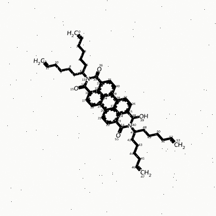 C=CCCCCC(CCCCC=C)N1C(=O)c2ccc3c4ccc5c6c(ccc(c7ccc(c2c37)C1=O)c64)C(O)N(C(CCCCC=C)CCCCC=C)C5=O